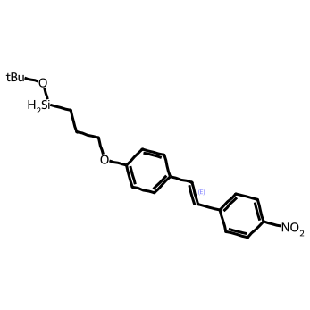 CC(C)(C)O[SiH2]CCCOc1ccc(/C=C/c2ccc([N+](=O)[O-])cc2)cc1